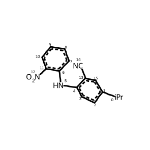 CC(C)c1ccc(Nc2ccccc2[N+](=O)[O-])c(C#N)c1